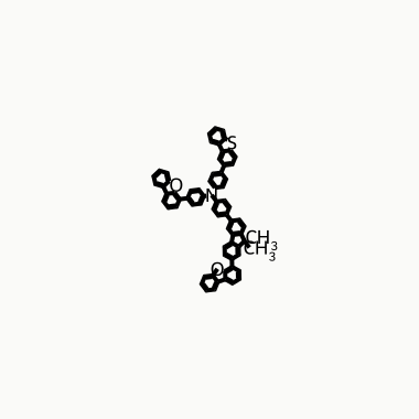 CC1(C)c2ccc(-c3ccc(N(c4ccc(-c5ccc6sc7ccccc7c6c5)cc4)c4ccc(-c5cccc6c5oc5ccccc56)cc4)cc3)cc2-c2ccc(-c3cccc4c3oc3ccccc34)cc21